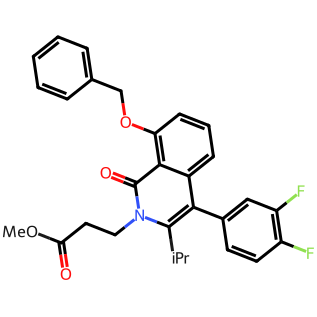 COC(=O)CCn1c(C(C)C)c(-c2ccc(F)c(F)c2)c2cccc(OCc3ccccc3)c2c1=O